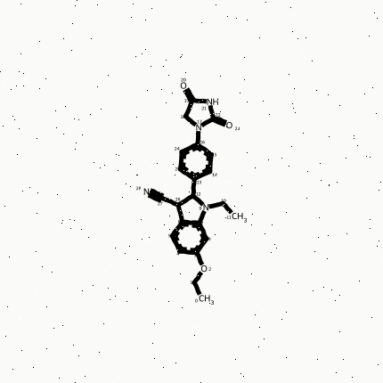 CCOc1ccc2c(c1)N(CC)C(c1ccc(N3CC(=O)NC3=O)cc1)C2C#N